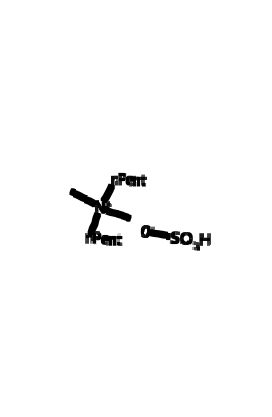 CCCCC[N+](C)(C)CCCCC.O=S(=O)([O-])O